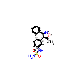 Cc1onc(-c2ccccc2)c1-c1cccc(NS(N)(=O)=O)c1